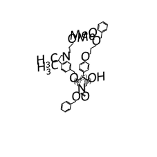 COCCCN1CC(C)(C)c2ccc(CO[C@H]3CN(C(=O)OCc4ccccc4)C[C@@H](O)[C@@H]3c3ccc(OCCCOCc4ccccc4OC)cc3)cc21